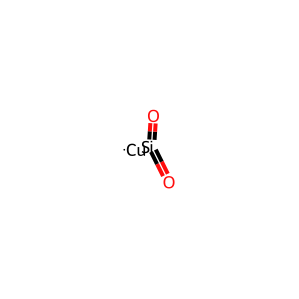 O=[Si]=O.[Cu]